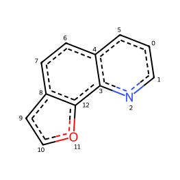 c1cnc2c(c1)ccc1ccoc12